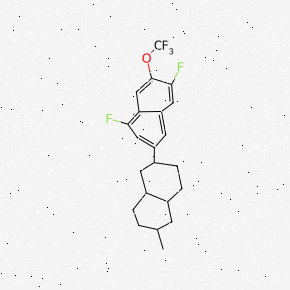 CC1CCC2CC(c3cc(F)c4cc(OC(F)(F)F)c(F)cc4c3)CCC2C1